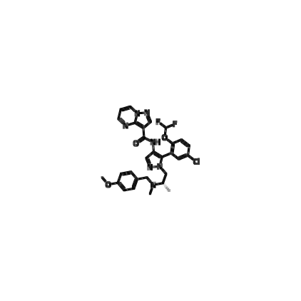 COc1ccc(CN(C)[C@@H](C)Cn2ncc(NC(=O)c3cnn4cccnc34)c2-c2cc(Cl)ccc2OC(F)F)cc1